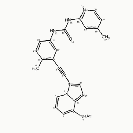 CC(=O)Nc1cccn2c(C#Cc3cc(NC(=O)Nc4cc(C)ccn4)ccc3C)cnc12